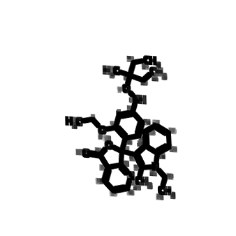 CCOc1cc(NOC(C)(CC)CC)ccc1C1(c2c(C)n(CC)c3ccccc23)OC(=O)c2cccnc21